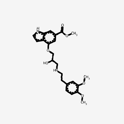 COC(=O)c1cc(OCC(O)CNCCc2ccc(OC)c(OC)c2)c2cc[nH]c2c1